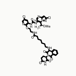 CO[C@@H](C)c1c(NC(=O)Nc2cc(Cl)cnc2OCCNC(=O)CCCCCCNC2C(=O)N(C3CCC(=O)NC3=O)C(=O)c3ccccc32)cnc2cc(Cl)nn12